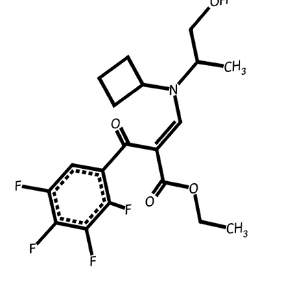 CCOC(=O)C(=CN(C(C)CO)C1CCC1)C(=O)c1cc(F)c(F)c(F)c1F